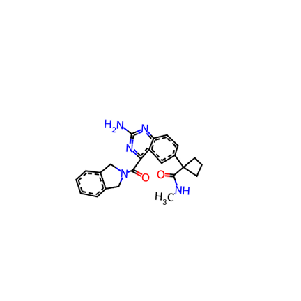 CNC(=O)C1(c2ccc3nc(N)nc(C(=O)N4Cc5ccccc5C4)c3c2)CCC1